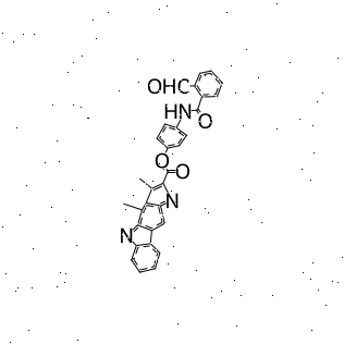 CC1=C(C(=O)Oc2ccc(NC(=O)c3ccccc3C=O)cc2)N=c2cc3c(c(C)c21)=Nc1ccccc1-3